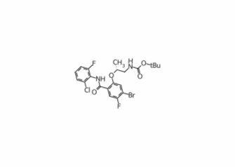 C[C@H](CNC(=O)OC(C)(C)C)Oc1cc(Br)c(F)cc1C(=O)Nc1c(F)cccc1Cl